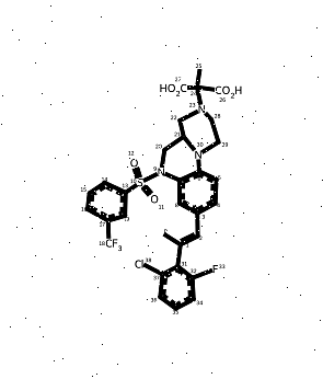 CC(=Cc1ccc2c(c1)N(S(=O)(=O)c1cccc(C(F)(F)F)c1)CC1CN(C(C)(C(=O)O)C(=O)O)CCN21)c1c(F)cccc1Cl